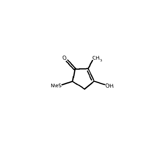 CSC1CC(O)=C(C)C1=O